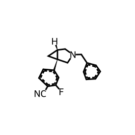 N#Cc1ccc([C@@]23C[C@@H]2CN(Cc2ccccc2)C3)cc1F